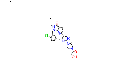 Cc1ccc(Cl)c(Cn2c3nc(-c4cnc(N5CCN(C(=O)CO)C[C@H]5C)nc4)ccc3c(=O)n2C)c1